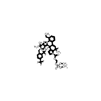 CCc1cccc2c1-n1nc3c(c1C1(C)C2=CC(C)(F)c2c1ccn2C(=O)OCOP(=O)(OC)OC)CN(Cc1ccc(C(F)(F)F)cc1C(F)(F)F)C3(C)C